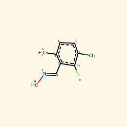 ON=Cc1c(C(F)(F)F)ccc(Cl)c1F